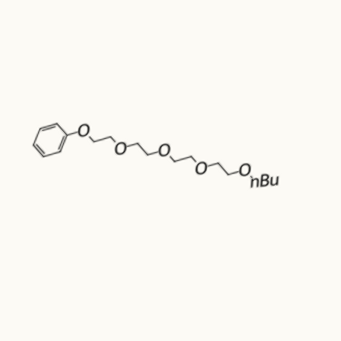 CCCCOCCOCCOCCOCCOc1ccccc1